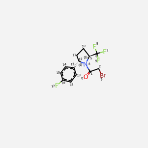 O=C(CBr)N1[C@H](C(F)(F)F)CC[C@H]1c1ccc(F)cc1